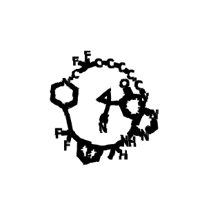 C[C@H]1Nc2ncnc3c2cc(C2(C#N)CC2)c(=O)n3CCCCCC(F)(F)CN2CCC(CC2)C(F)(F)c2cccc1c2F